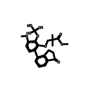 COC(=O)C(C)(C)COc1c(-c2cccc3c2CCC3=O)ccc(OC)c1OC(O)(O)O